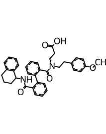 COc1ccc(CCN(CCC(=O)O)C(=O)c2ccccc2-c2ccccc2C(=O)NC2CCCc3ccccc32)cc1